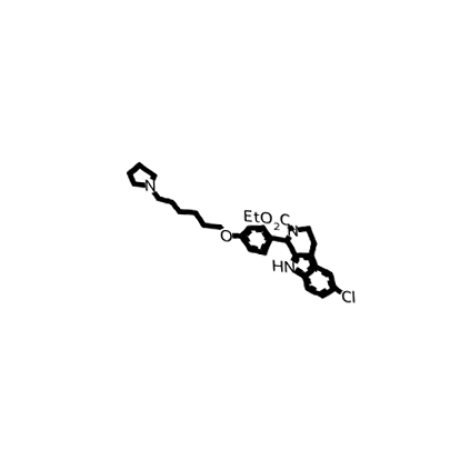 CCOC(=O)N1CCc2c([nH]c3ccc(Cl)cc23)C1c1ccc(OCCCCCCN2CCCC2)cc1